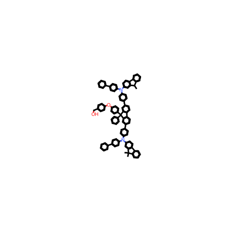 CC1c2ccccc2-c2ccc(N(c3ccc(-c4ccccc4)cc3)c3ccc(-c4ccc5c(c4)C(c4ccccc4)(c4ccc(Oc6ccc(CO)cc6)cc4)c4cc(-c6ccc(N(c7ccc(-c8ccccc8)cc7)c7ccc8c(c7)C(C)(C)c7ccccc7-8)cc6)ccc4-5)cc3)cc21